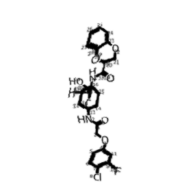 O=C(COc1ccc(Cl)c(F)c1)NC12CCC(NC(=O)[C@@H]3COc4ccccc4O3)(CC1)[C@@H](O)C2